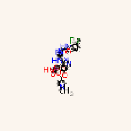 CN1CCC(COc2cc3ncnc(Nc4cnn(CC(=O)Nc5cccc(F)c5F)c4)c3cc2OP(=O)(O)O)CC1